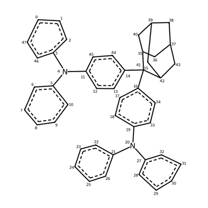 c1ccc(N(c2ccccc2)c2ccc(C3(c4ccc(N(c5ccccc5)c5ccccc5)cc4)C4CC5CC(C4)CC3C5)cc2)cc1